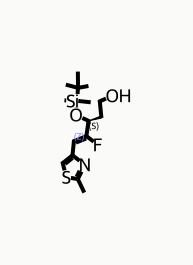 Cc1nc(/C=C(\F)[C@H](CCO)O[Si](C)(C)C(C)(C)C)cs1